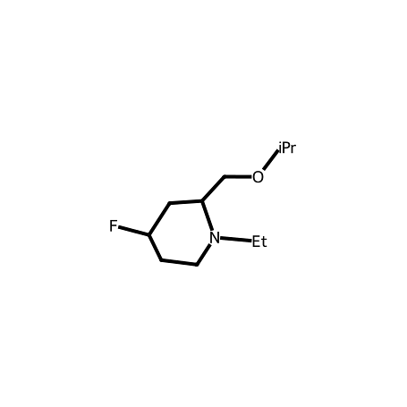 CCN1CCC(F)CC1COC(C)C